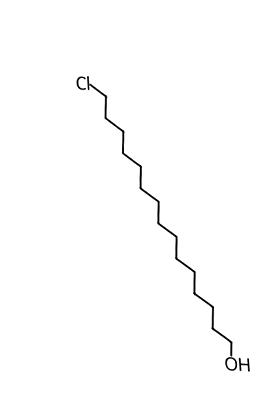 OCCCCCCCCCCCCCCCCl